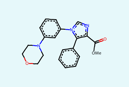 COC(=O)c1ncn(-c2cccc(N3CCOCC3)c2)c1-c1ccccc1